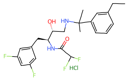 CCc1cccc(C(C)(C)NC[C@@H](O)[C@H](Cc2cc(F)cc(F)c2)NC(=O)C(F)F)c1.Cl